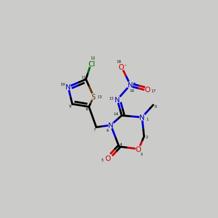 CN1COC(=O)N(Cc2cnc(Cl)s2)C1=N[N+](=O)[O-]